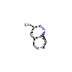 CC(C)(C)c1cc2ccccc2nn1